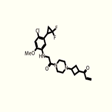 C=CC(=O)C1CC(N2CCN(C(=O)CNc3cc(C4CC4(F)F)c(Cl)cc3OC)CC2)C1